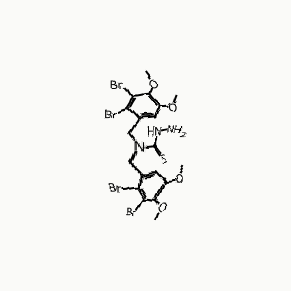 COc1cc(CN(Cc2cc(OC)c(OC)c(Br)c2Br)C(=S)NN)c(Br)c(Br)c1OC